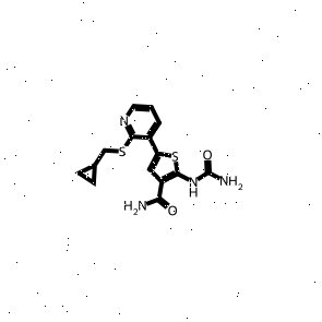 NC(=O)Nc1sc(-c2cccnc2SCC2CC2)cc1C(N)=O